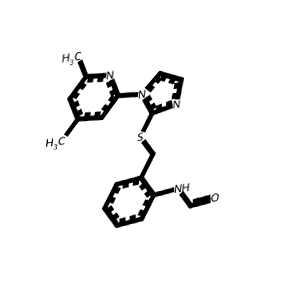 Cc1cc(C)nc(-n2ccnc2SCc2ccccc2NC=O)c1